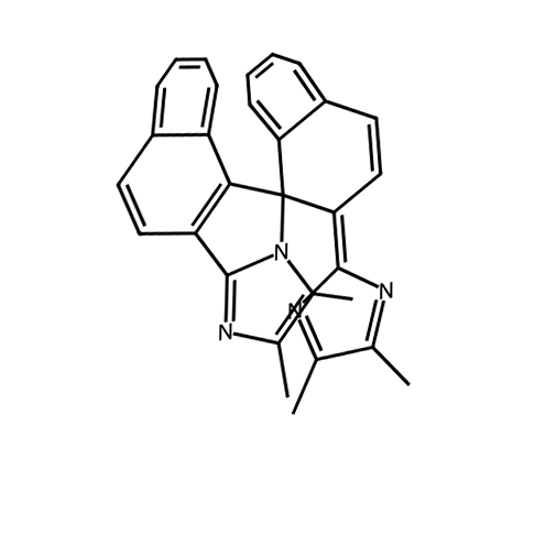 CC1=NC(=C2C=Cc3ccccc3C23c2c(ccc4ccccc24)-c2nc(C)c(C)n23)N=C1C